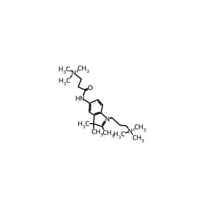 CC1=[N+](CCC[N+](C)(C)C)c2ccc(NC(=O)CC[N+](C)(C)C)cc2C1(C)C